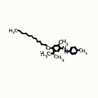 CCCCCCCCCCCCOc1cc(C)c(/N=N/c2ccc(C)cc2)cc1C(C)C